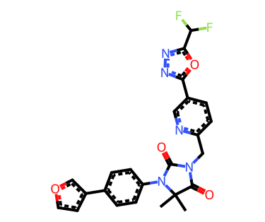 CC1(C)C(=O)N(Cc2ccc(-c3nnc(C(F)F)o3)cn2)C(=O)N1c1ccc(-c2ccoc2)cc1